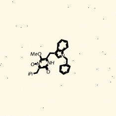 COc1c(Cc2cn(Cc3ccccc3)c3ccccc23)[nH]c(=O)c(CC(C)C)[n+]1[O-]